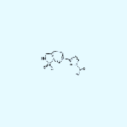 O=C(O)c1ccc(-c2ccc3c(c2)S(=O)(=O)NC3)o1